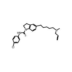 C=CCN(C)CCCCCc1ccc2c(c1)CCN2C(=S)Nc1ccc(Cl)cc1